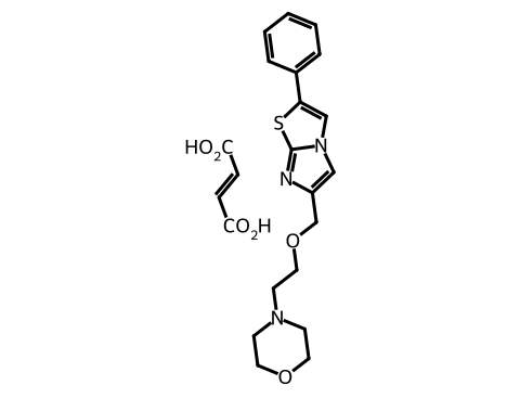 O=C(O)C=CC(=O)O.c1ccc(-c2cn3cc(COCCN4CCOCC4)nc3s2)cc1